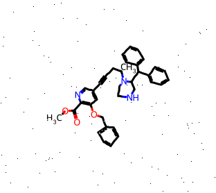 COC(=O)c1ncc(C#CCC(C)N2CCNCC2C(c2ccccc2)c2ccccc2)cc1OCc1ccccc1